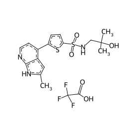 Cc1cc2c(-c3ccc(S(=O)(=O)NCC(C)(C)O)s3)ccnc2[nH]1.O=C(O)C(F)(F)F